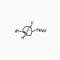 CNC1C[C@@H]2CC[C@H]1CN2C(C)C